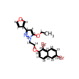 CCOc1cc(-c2ccoc2)nn1CCOc1ccc2cc(Br)ccc2c1Br